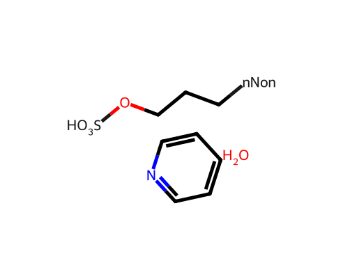 CCCCCCCCCCCCOS(=O)(=O)O.O.c1ccncc1